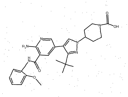 COc1ccccc1NC(=O)c1cc(-c2cn(C3CCN(C(=O)O)CC3)nc2C(C)(C)C)cnc1N